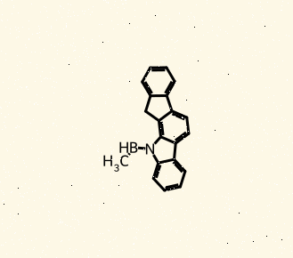 CBn1c2ccccc2c2ccc3c(c21)Cc1ccccc1-3